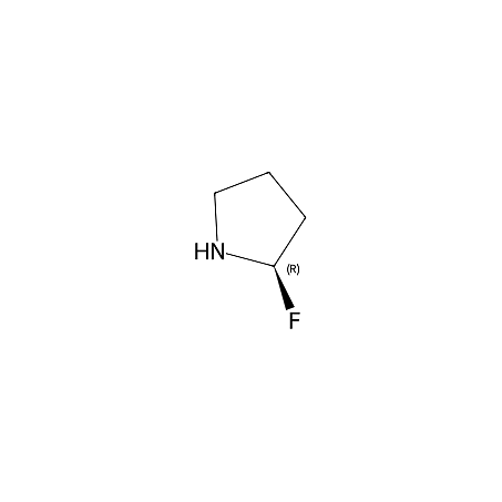 F[C@@H]1CCCN1